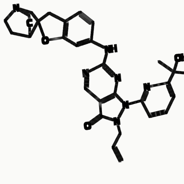 C=CCn1c(=O)c2cnc(Nc3ccc4c(c3)OC3(C4)CN4CCC3CC4)nc2n1-c1cccc(C(C)(C)O)n1